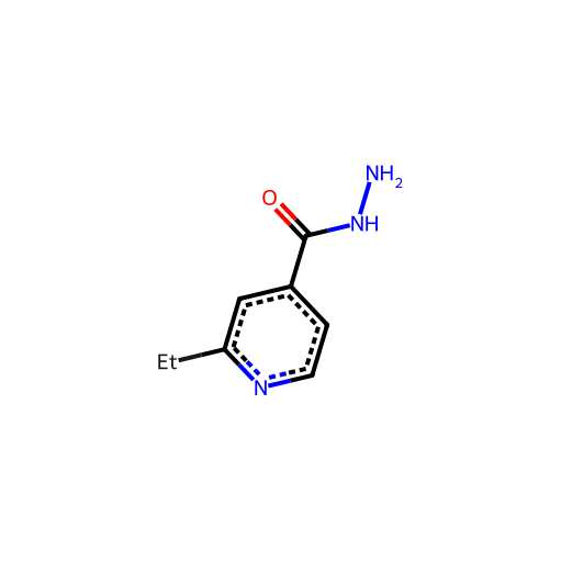 CCc1cc(C(=O)NN)ccn1